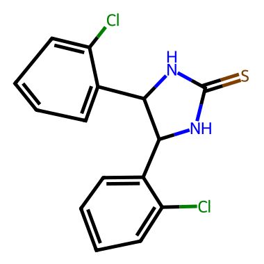 S=C1NC(c2ccccc2Cl)C(c2ccccc2Cl)N1